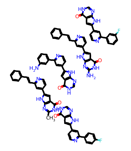 Cc1nc2[nH]c(-c3ccnc(C=Cc4ccccc4)c3)cc2c(=O)[nH]1.Nc1cccc(-c2cc(-c3cc4c(=O)[nH]cnc4[nH]3)ccn2)c1.Nc1nc2[nH]c(-c3ccnc(C=Cc4ccccc4)c3)cc2c(=O)[nH]1.O=c1[nH]cnc2[nH]c(-c3ccnc(-c4ccc(F)cc4)c3)cc12.O=c1[nH]cnc2[nH]c(-c3ccnc(-c4cccc(F)c4)c3)cc12